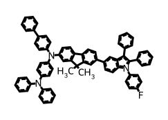 CC1(C)c2cc(-c3ccc4c(c3)c(-c3ccccc3)c(-c3ccccc3)n4-c3ccc(F)cc3)ccc2-c2ccc(N(c3ccc(-c4ccccc4)cc3)c3ccc(N(c4ccccc4)c4ccccc4)cc3)cc21